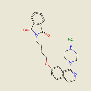 Cl.O=C1c2ccccc2C(=O)N1CCCCOc1ccc2ccnc(N3CCNCC3)c2c1